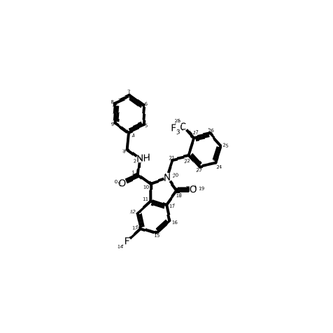 O=C(NCc1ccccc1)C1c2cc(F)ccc2C(=O)N1Cc1ccccc1C(F)(F)F